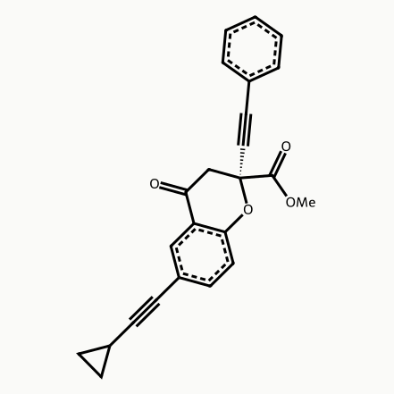 COC(=O)[C@]1(C#Cc2ccccc2)CC(=O)c2cc(C#CC3CC3)ccc2O1